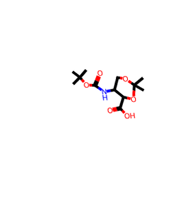 CC(C)(C)OC(=O)NC1COC(C)(C)OC1C(=O)O